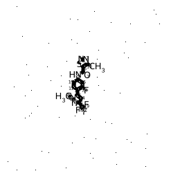 Cc1nnsc1C(=O)Nc1ccc(-c2cc(C(F)(F)F)nn2C)c(F)c1